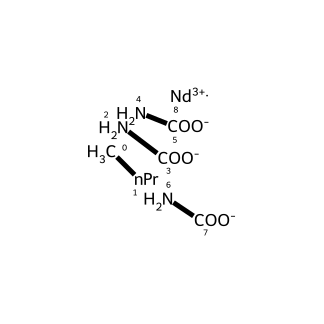 CCCC.NC(=O)[O-].NC(=O)[O-].NC(=O)[O-].[Nd+3]